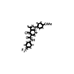 COc1ccc(-n2nc(C)c3c(Cl)c(C(=O)Nc4ccc(C(F)(F)F)cc4)cnc32)cc1